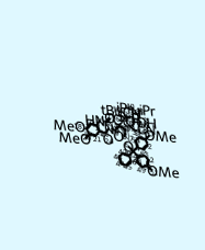 COc1ccc(C(OC[C@@H]2O[C@@H](n3c(=O)[nH]c4cc(OC)c(OC)cc4c3=O)[C@H](O[Si](C)(C)C(C)(C)C)[C@@H]2C(CC#N)OP(O)N(C(C)C)C(C)C)(c2ccccc2)c2ccc(OC)cc2)cc1